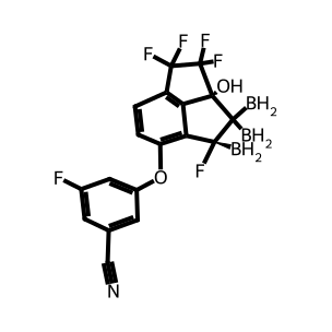 BC1(B)[C@@]2(O)c3c(ccc(Oc4cc(F)cc(C#N)c4)c3[C@@]1(B)F)C(F)(F)C2(F)F